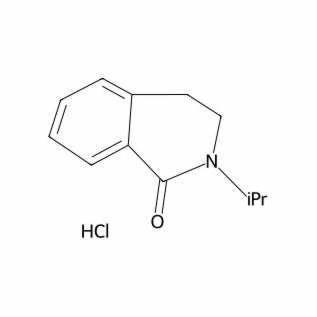 CC(C)N1CCc2ccccc2C1=O.Cl